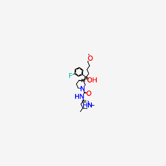 CNC[C@H](CC(C)C)NC(=O)N1CCC[C@@H]([C@@](O)(CCCCOC)c2cccc(F)c2)C1